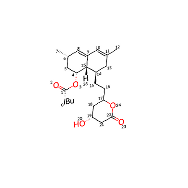 CC[C@@H](C)C(=O)O[C@@H]1C[C@H](C)C=C2C=C(C)C[C@@H](CCC3C[C@@H](O)CC(=O)O3)[C@@H]21